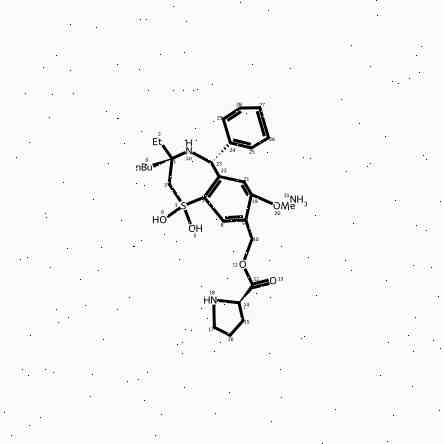 CCCC[C@]1(CC)CS(O)(O)c2cc(COC(=O)[C@H]3CCCN3)c(OC)cc2[C@@H](c2ccccc2)N1.N